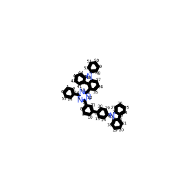 c1ccc(-c2nc(-c3cccc(-c4ccc(-n5c6ccccc6c6ccccc65)cc4)c3)nc(-c3cccc4c3c3ccccc3n4-c3ccccc3)n2)cc1